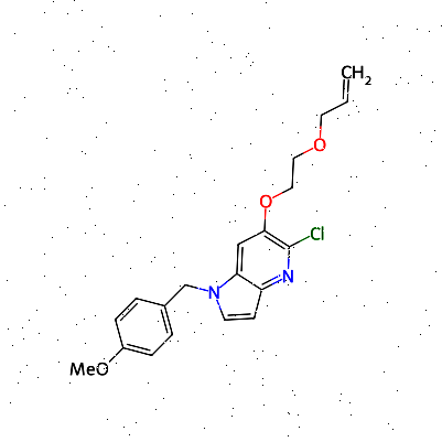 C=CCOCCOc1cc2c(ccn2Cc2ccc(OC)cc2)nc1Cl